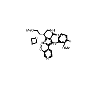 COCC[C@@H]1CNC(=O)c2c1[nH]c(-c1ccncc1OC[C@@H]1CCO1)c2Nc1cccc(F)c1OC